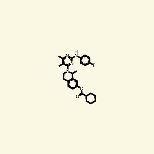 Cc1nc(Nc2ccc(F)cc2)nc(N2CCc3ccc(OC(=O)C4CCCCC4)cc3C2C)c1C